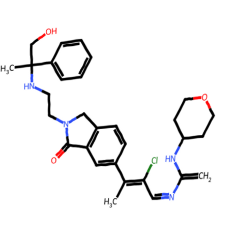 C=C(/N=C\C(Cl)=C(/C)c1ccc2c(c1)C(=O)N(CCNC(C)(CO)c1ccccc1)C2)NC1CCOCC1